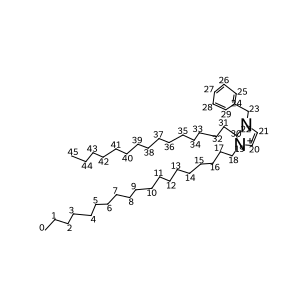 CCCCCCCCCCCCCCCCCCC[n+]1ccn(Cc2ccccc2)c1CCCCCCCCCCCCCCC